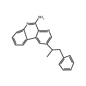 CC(Cc1ccccc1)c1cnc2c(N)nc3ccccc3c2c1